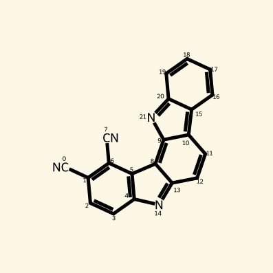 N#Cc1ccc2c(c1C#N)-c1c3c(ccc1=N2)=c1ccccc1=N3